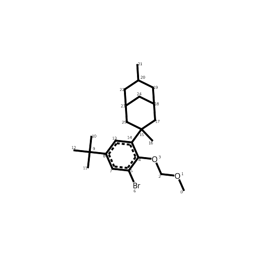 COCOc1c(Br)cc(C(C)(C)C)cc1C1(C)CC2CC(C)CC(C2)C1